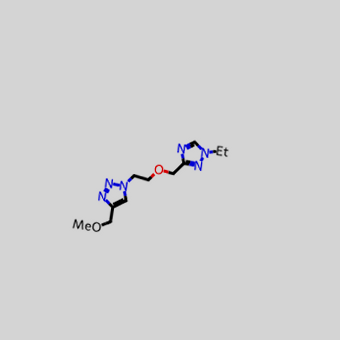 CCn1cnc(COCCn2cc(COC)nn2)n1